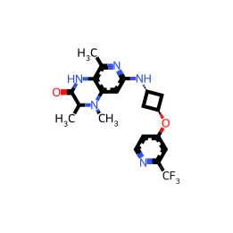 Cc1nc(N[C@H]2C[C@H](Oc3ccnc(C(F)(F)F)c3)C2)cc2c1NC(=O)C(C)N2C